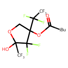 CCC(C)C(=O)OC1(C(F)(F)C(F)(F)F)COC(O)(C(F)(F)F)C1(F)F